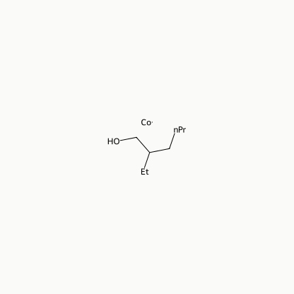 CCCCC(CC)CO.[Co]